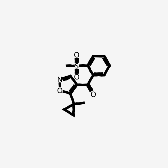 CC1(c2oncc2C(=O)c2ccccc2S(C)(=O)=O)CC1